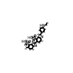 CCNc1ccc(-c2nc3ccc(-c4nc5ccc(C)c(S(=O)(=O)O)c5s4)c(S(=O)(=O)O)c3s2)cc1